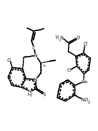 CC(C)=CCN1Cc2c(Cl)ccc3[nH]c(=S)n(c23)C[C@@H]1C.NC(=O)Cc1c(Cl)ccc(Nc2ccccc2[N+](=O)[O-])c1Cl